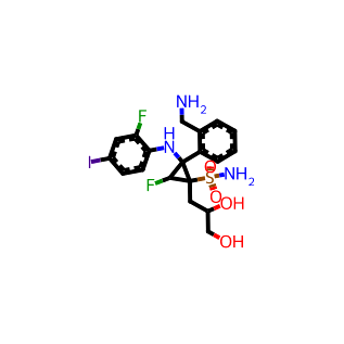 NCc1ccccc1C1(Nc2ccc(I)cc2F)C(F)C1(CC(O)CO)S(N)(=O)=O